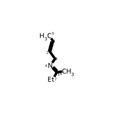 CC=CCN=C(C)CC